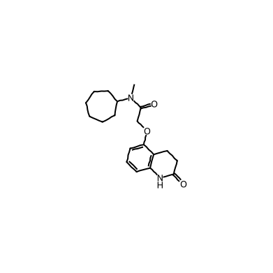 CN(C(=O)COc1cccc2c1CCC(=O)N2)C1CCCCCC1